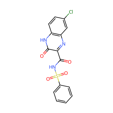 O=C(NS(=O)(=O)c1ccccc1)c1nc2cc(Cl)ccc2[nH]c1=O